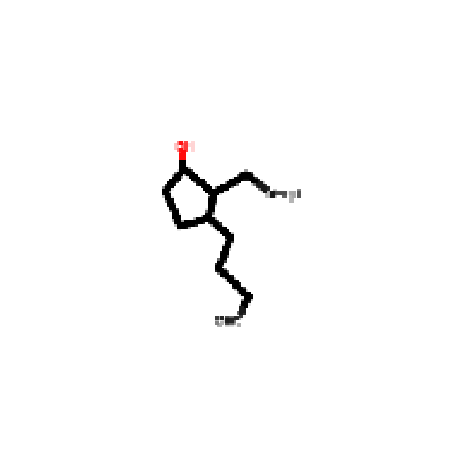 CCCCCCCCC1C(O)CCC1CCCC=O